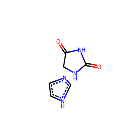 O=C1CNC(=O)N1.c1c[nH]cn1